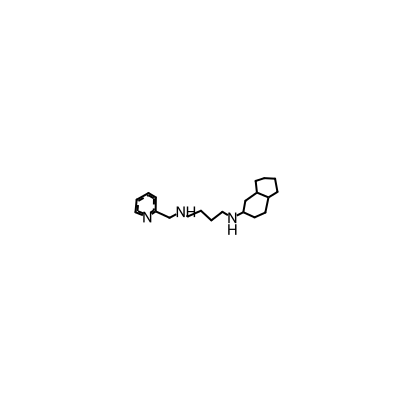 c1ccc(CNCCCCNC2CCC3CCCCC3C2)nc1